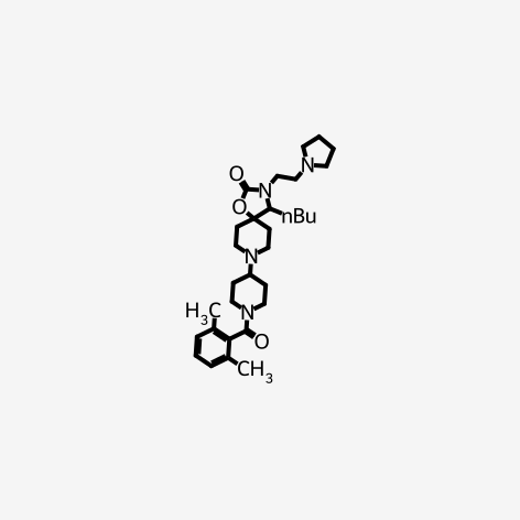 CCCCC1N(CCN2CCCC2)C(=O)OC12CCN(C1CCN(C(=O)c3c(C)cccc3C)CC1)CC2